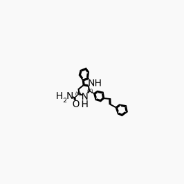 NC(=O)[C@H]1Cc2c([nH]c3ccccc23)[C@@H](c2ccc(C=Cc3ccccc3)cc2)N1